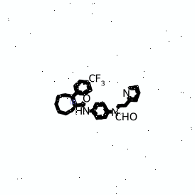 O=CN(CCc1ccccn1)c1ccc(NC(=O)/C2=C(\c3ccc(C(F)(F)F)cc3)CCCCCC2)cc1